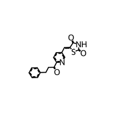 O=C1NC(=O)C(=Cc2ccc(C(=O)CCc3ccccc3)nc2)S1